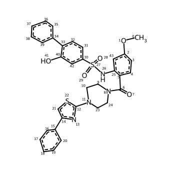 COc1ccc(C(=O)N2CCN(c3nc(-c4ccccc4)cs3)CC2)c(NS(=O)(=O)c2ccc(-c3ccccc3)c(O)c2)c1